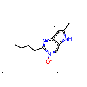 CCCCc1nc2cc(C)[nH]c2c[n+]1[O-]